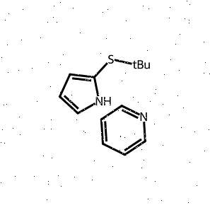 CC(C)(C)Sc1ccc[nH]1.c1ccncc1